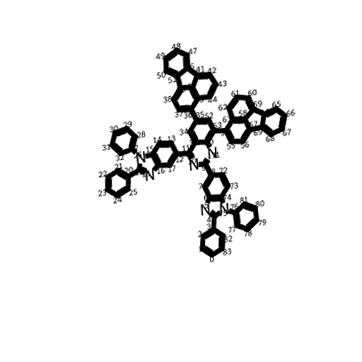 c1ccc(-c2nc3cc(-c4nc(-c5ccc6c(c5)nc(-c5ccccc5)n6-c5ccccc5)c5cc(-c6ccc7c8c(cccc68)-c6ccccc6-7)cc(-c6ccc7c8c(cccc68)-c6ccccc6-7)c5n4)ccc3n2-c2ccccc2)cc1